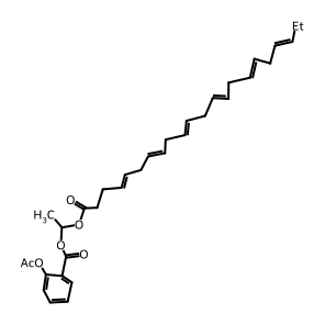 CCC=CCC=CCC=CCC=CCC=CCC=CCCC(=O)OC(C)OC(=O)c1ccccc1OC(C)=O